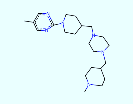 Cc1cnc(N2CCC(CN3CCN(CC4CCN(C)CC4)CC3)CC2)nc1